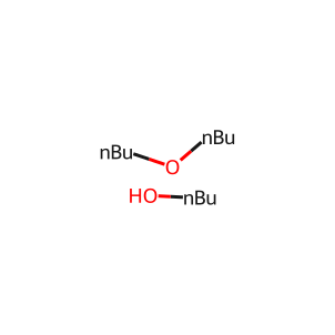 CCCCO.CCCCOCCCC